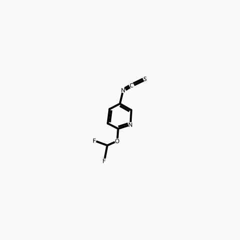 FC(F)Oc1ccc(N=C=S)cn1